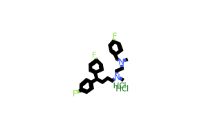 CN(CCCC(c1ccc(F)cc1)c1ccc(F)cc1)CCN(C)Cc1ccc(F)cc1.Cl.Cl